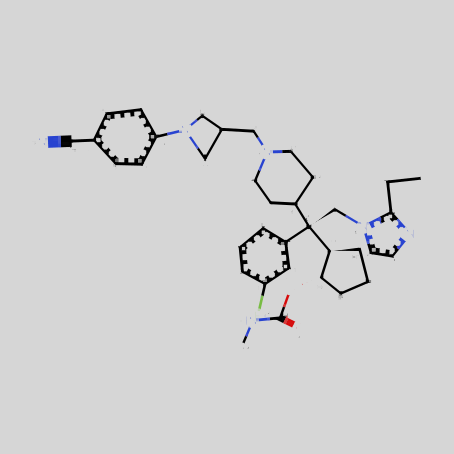 CCc1nccn1C[C@@](c1cccc(F)c1)(C1CCN(CC2CN(c3ccc(C#N)cc3)C2)CC1)[C@H]1CCC[C@@H]1OC(=O)NC